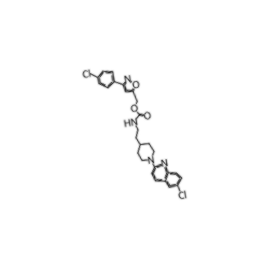 O=C(NCCC1CCN(c2ccc3cc(Cl)ccc3n2)CC1)OCc1cc(-c2ccc(Cl)cc2)no1